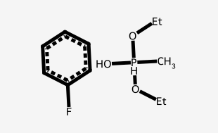 CCO[PH](C)(O)OCC.Fc1ccccc1